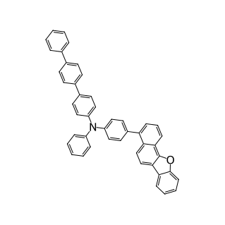 c1ccc(-c2ccc(-c3ccc(N(c4ccccc4)c4ccc(-c5cccc6c5ccc5c7ccccc7oc65)cc4)cc3)cc2)cc1